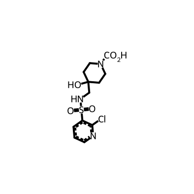 O=C(O)N1CCC(O)(CNS(=O)(=O)c2cccnc2Cl)CC1